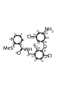 CSc1ncccc1C(=O)NCc1ccc(Cl)c(Oc2cc(N)cc(Cl)c2)c1F